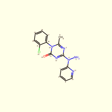 Cc1nc(N(N)c2ccccn2)nc(=O)n1-c1ccccc1Cl